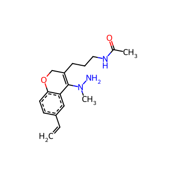 C=Cc1ccc2c(c1)C(N(C)N)=C(CCCNC(C)=O)CO2